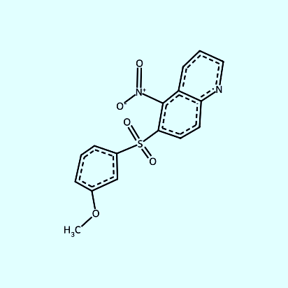 COc1cccc(S(=O)(=O)c2ccc3ncccc3c2[N+](=O)[O-])c1